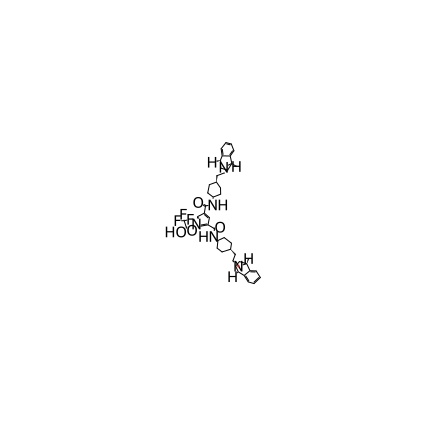 O=C(N[C@H]1CC[C@H](CCN2[C@@H]3CC[C@H]2c2ccccc23)CC1)c1cncc(C(=O)N[C@H]2CC[C@H](CCN3[C@@H]4CC[C@H]3c3ccccc34)CC2)c1.O=C(O)C(F)(F)F